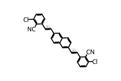 N#Cc1c(Cl)cccc1/C=C/c1ccc2cc(/C=C/c3cccc(Cl)c3C#N)ccc2c1